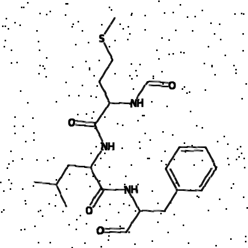 CSCCC(NC=O)C(=O)NC(CC(C)C)C(=O)NC([C]=O)Cc1ccccc1